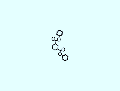 O=C(Oc1ccccc1)C1C=CCC(C(=O)Oc2ccccc2)C1